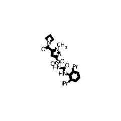 CC(C)c1cccc(C(C)C)c1NC(=O)NS(=O)(=O)c1cc(C(=O)N2CCC2)n(C)n1